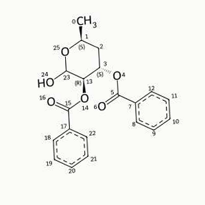 C[C@H]1C[C@H](OC(=O)c2ccccc2)[C@@H](OC(=O)c2ccccc2)C(O)O1